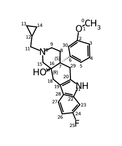 COc1cccc([C@@]23CCN(CC4CC4)C[C@@]2(O)Cc2c([nH]c4cc(F)ccc24)C3)c1